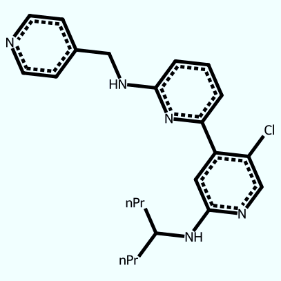 CCCC(CCC)Nc1cc(-c2cccc(NCc3ccncc3)n2)c(Cl)cn1